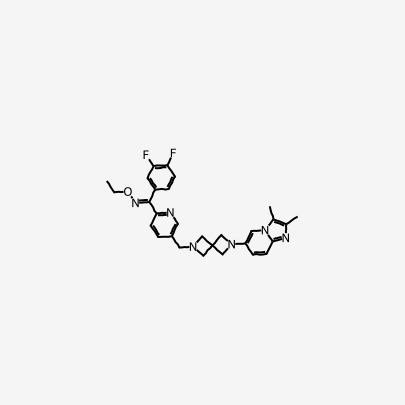 CCO/N=C(\c1ccc(F)c(F)c1)c1ccc(CN2CC3(C2)CN(c2ccc4nc(C)c(C)n4c2)C3)cn1